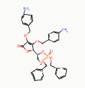 Nc1ccc(COC2=C(OCc3ccc(N)cc3)[C@@H]([C@H](CO)OP(=O)(OCc3ccccc3)OCc3ccccc3)OC2=O)cc1